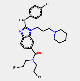 CC(=O)c1ccc([AsH]c2nc3ccc(C(=O)N(CCC(C)C)CCC(C)C)cc3n2CCCN2CCCCC2)cc1